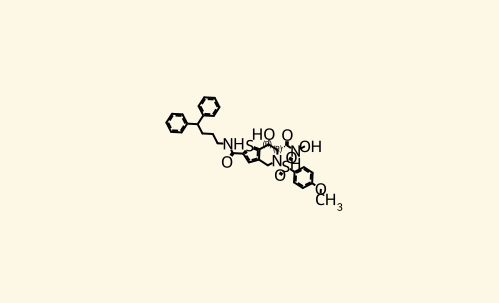 COc1ccc(S(=O)(=O)N2Cc3cc(C(=O)NCCCC(c4ccccc4)c4ccccc4)sc3[C@H](O)[C@@H]2C(=O)NO)cc1